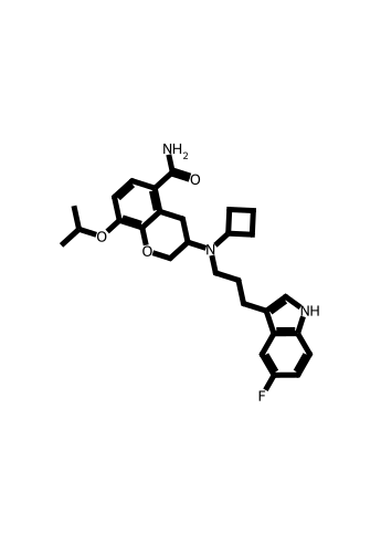 CC(C)Oc1ccc(C(N)=O)c2c1OCC(N(CCCc1c[nH]c3ccc(F)cc13)C1CCC1)C2